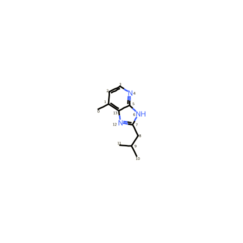 Cc1ccnc2[nH]c(CC(C)C)nc12